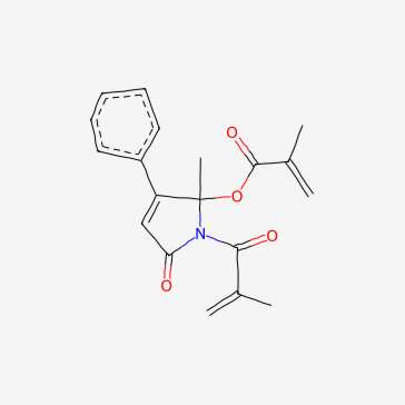 C=C(C)C(=O)OC1(C)C(c2ccccc2)=CC(=O)N1C(=O)C(=C)C